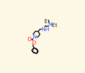 CCN(CC)CCNCC1CCN(C(=O)OCc2ccccc2)CC1